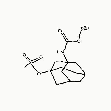 CCCCOC(=O)NC12CC3CC(C1)CC(OS(C)(=O)=O)(C3)C2